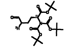 [2H]C(C=O)CC[C@@H](C(=O)OC(C)(C)C)N(C(=O)OC(C)(C)C)C(=O)OC(C)(C)C